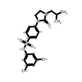 CC(C)CN1CCN(c2ccc(S(=O)(=O)Oc3cc(Cl)cc(Cl)c3)cc2)C1=O